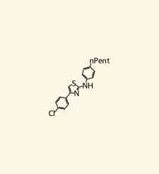 CCCCCc1ccc(Nc2nc(-c3ccc(Cl)cc3)cs2)cc1